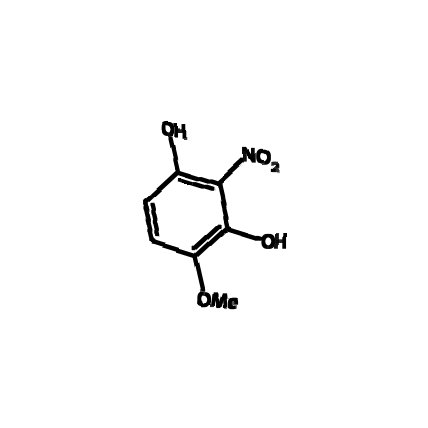 COc1ccc(O)c([N+](=O)[O-])c1O